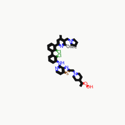 COc1nc(-c2cccc(-c3cccc(Nc4nccc5sc(CN6CCC(C(C)OO)CC6)nc45)c3Cl)c2Cl)cc(C)c1CN1CCCC1